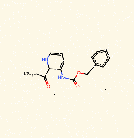 CCOC(=O)C(=O)C1NC=CC=C1NC(=O)OCc1ccccc1